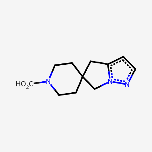 O=C(O)N1CCC2(CC1)Cc1ccnn1C2